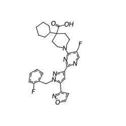 O=C(O)C1(C2CCCCC2)CCN(c2nc(-c3cc(-c4ccon4)n(Cc4ccccc4F)n3)ncc2F)CC1